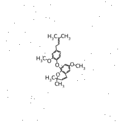 COc1cc2c(c(Oc3ccc(CC=C(C)C)cc3OC)c1)OC(C)(C)C=C2